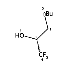 CCCCC[C@@H](O)C(F)(F)F